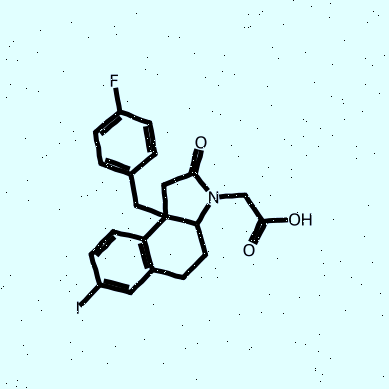 O=C(O)CN1C(=O)CC2(Cc3ccc(F)cc3)c3ccc(I)cc3CCC12